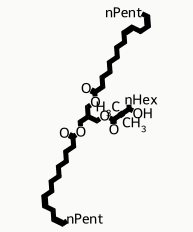 CCCCC/C=C\C/C=C\CCCCCCCC(=O)OCC(COC(=O)CCCCCCC/C=C\C/C=C\CCCCC)COC(=O)C(C)(C)C(O)CCCCCC